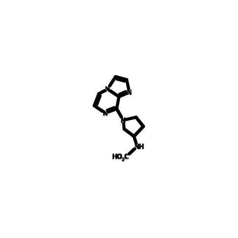 O=C(O)NC1CCN(c2nccn3ccnc23)C1